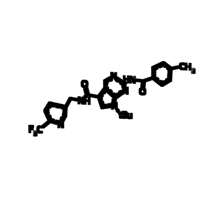 Cc1ccc(C(=O)Nc2ncc3c(C(=O)NCc4ccc(C(F)(F)F)nc4)cn(C(C)(C)C)c3n2)cc1